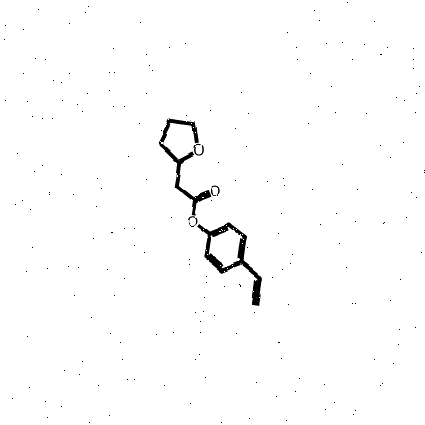 C=Cc1ccc(OC(=O)CC2CCCO2)cc1